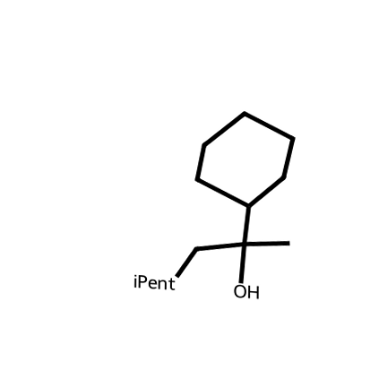 CCCC(C)CC(C)(O)C1CCCCC1